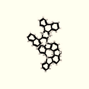 c1ccc2c(-c3nc4c5ccccc5c5ccccc5c4nc3-n3c4ccc5oc6ccc7c8ccccc8n8c9cccc3c9c4c5c6c78)cccc2c1